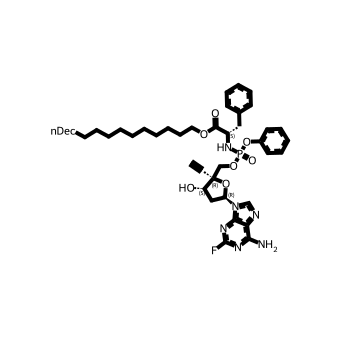 C#C[C@]1(COP(=O)(N[C@@H](Cc2ccccc2)C(=O)OCCCCCCCCCCCCCCCCCCCC)Oc2ccccc2)O[C@@H](n2cnc3c(N)nc(F)nc32)C[C@@H]1O